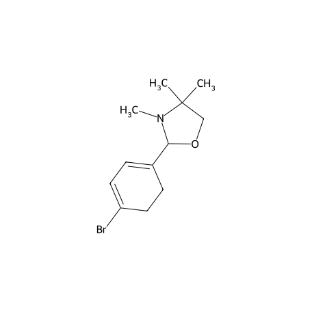 CN1C(C2=CC=C(Br)CC2)OCC1(C)C